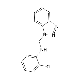 Clc1ccccc1NCn1nnc2ccccc21